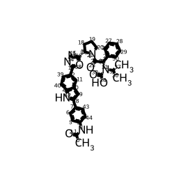 CC(=O)Nc1ccc(-c2cc3cc(-c4nnc([C@@H]5CCCN5C(=O)[C@@H](c5ccccc5)N(C(=O)O)C(C)C)o4)ccc3[nH]2)cc1